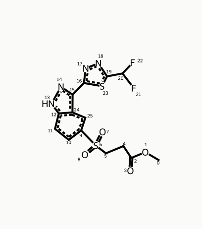 COC(=O)CCS(=O)(=O)c1ccc2[nH]nc(-c3nnc(C(F)F)s3)c2c1